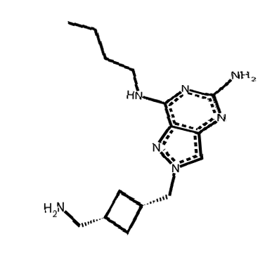 CCCCNc1nc(N)nc2cn(C[C@H]3C[C@@H](CN)C3)nc12